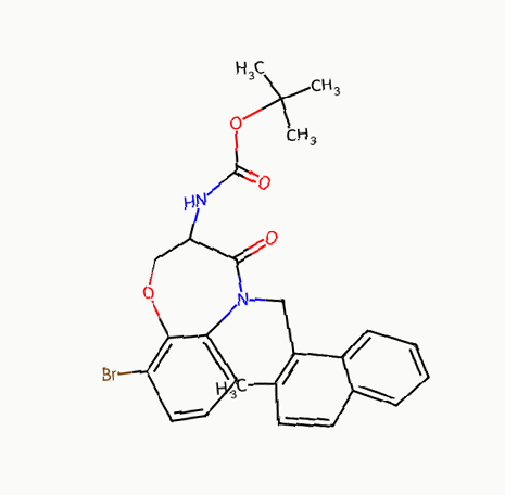 Cc1ccc2ccccc2c1CN1C(=O)C(NC(=O)OC(C)(C)C)COc2c(Br)cccc21